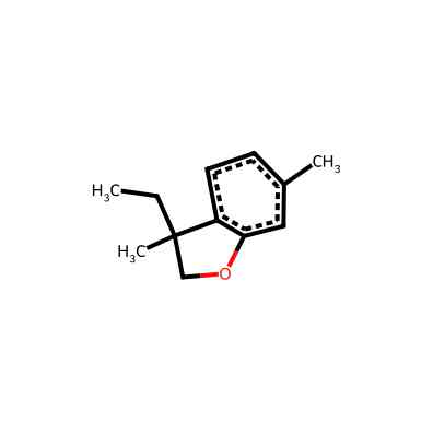 CCC1(C)COc2cc(C)ccc21